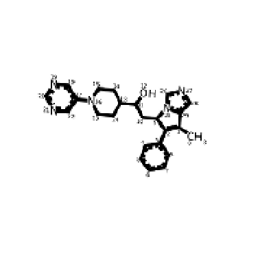 CC1=C(c2ccccc2)C(CC(O)C2CCN(c3cncnc3)CC2)n2cncc21